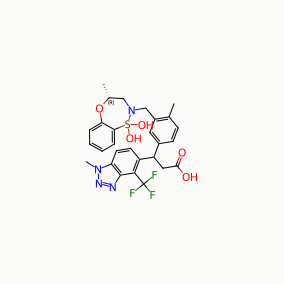 Cc1ccc(C(CC(=O)O)c2ccc3c(nnn3C)c2C(F)(F)F)cc1CN1C[C@@H](C)Oc2ccccc2S1(O)O